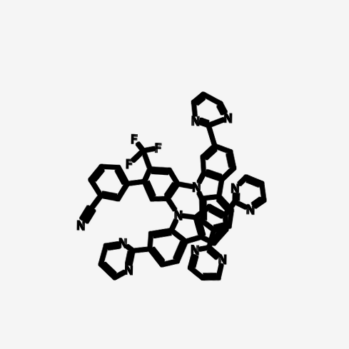 N#Cc1cccc(-c2cc(-n3c4cc(-c5ncccn5)ccc4c4ccc(-c5ncccn5)cc43)c(-n3c4cc(-c5ncccn5)ccc4c4ccc(-c5ncccn5)cc43)cc2C(F)(F)F)c1